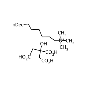 CCCCCCCCCCCCCCCC[N+](C)(C)C.O=C(O)CC(O)(CC(=O)O)C(=O)O